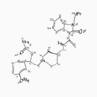 COc1cccc(C(CN2CCC(CNC(=O)n3c(=O)n(C(C)C)c4ccccc43)CC2)OC(N)=O)c1